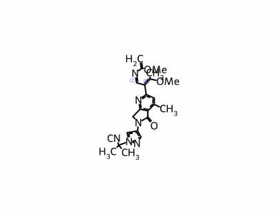 C=C(/N=C\C(=C(/C)OC)c1cc(C)c2c(n1)CN(c1cnn(C(C)(C)C#N)c1)C2=O)OC